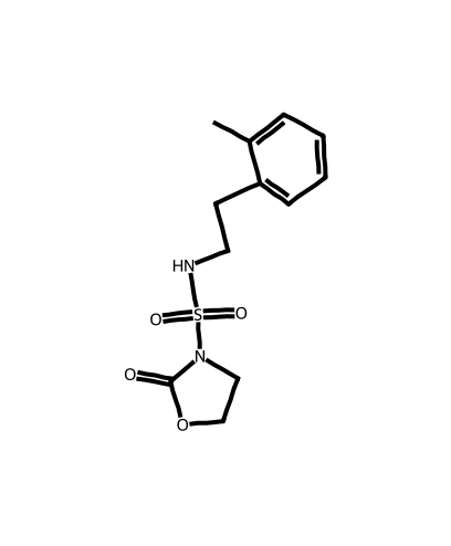 Cc1ccccc1CCNS(=O)(=O)N1CCOC1=O